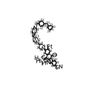 CCc1cc2c(cc1N1CCC(N3CCN(CN4CCN(Cc5ccc(Cc6ccccc6)cc5)CC4)CC3)CC1)C(C)(C)c1[nH]c3cc(C#N)ccc3c1C2=O